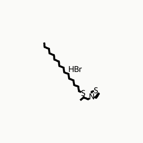 Br.CCCCCCCCCCCCCCCCSC(C)CN1C=CSC1